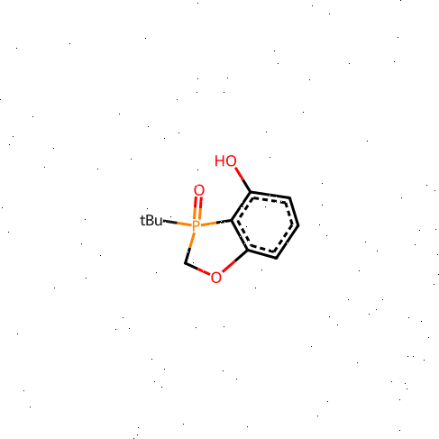 CC(C)(C)P1(=O)COc2cccc(O)c21